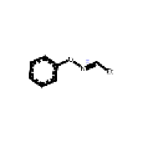 CC/C=N/Oc1ccccc1